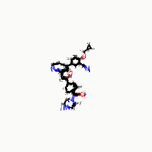 N#Cc1cc(-c2ccnc3cc(-c4ccc(C(=O)N5CCNCC5)cc4)oc23)ccc1OCC1CC1